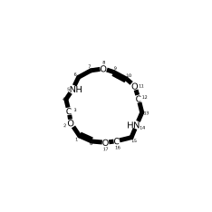 C1=COCCNCCOC=COCCNCCO1